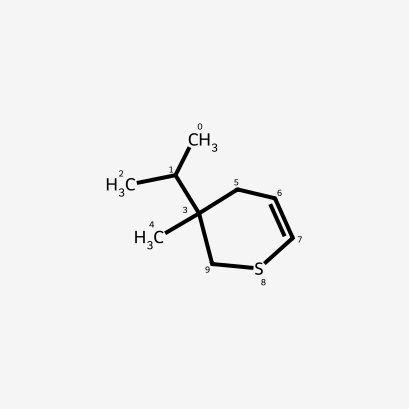 CC(C)C1(C)CC=CSC1